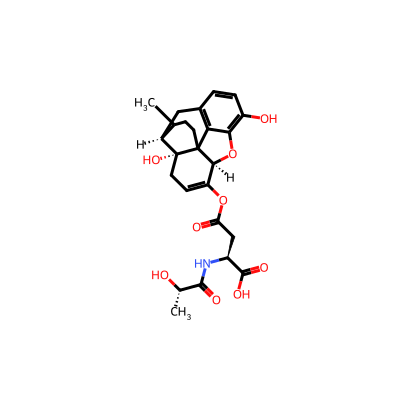 CC1CCC23c4c5ccc(O)c4O[C@H]2C(OC(=O)C[C@H](NC(=O)[C@H](C)O)C(=O)O)=CC[C@@]3(O)[C@H]1C5